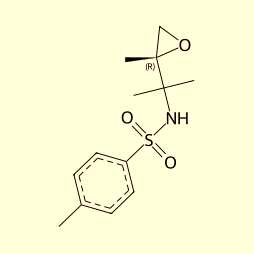 Cc1ccc(S(=O)(=O)NC(C)(C)[C@]2(C)CO2)cc1